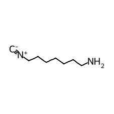 [C-]#[N+]CCCCCCCN